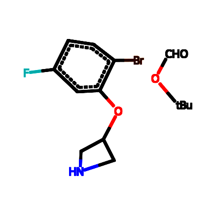 CC(C)(C)OC=O.Fc1ccc(Br)c(OC2CNC2)c1